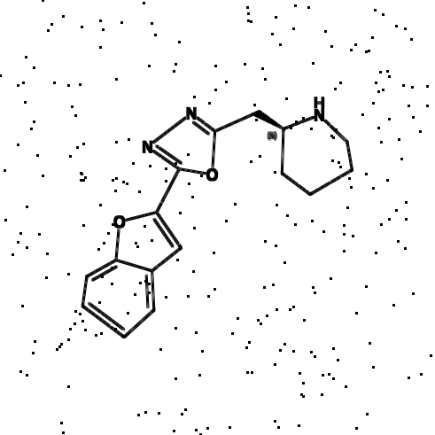 c1ccc2oc(-c3nnc(C[C@@H]4CCCCN4)o3)cc2c1